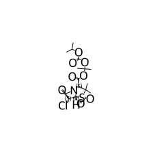 CC(C)OC(=O)OC(C)(C)OC(=O)[C@@H]1N2C(=O)[C@H](Cl)[C@H]2S(=O)(=O)C1(C)C